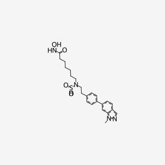 Cn1ncc2ccc(-c3ccc(CCN(CCCCCCC(=O)NO)[SH](=O)=O)cc3)cc21